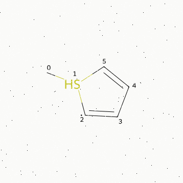 C[SH]1[C]=CC=C1